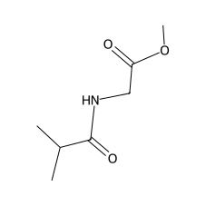 COC(=O)CNC(=O)C(C)C